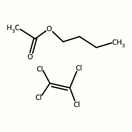 CCCCOC(C)=O.ClC(Cl)=C(Cl)Cl